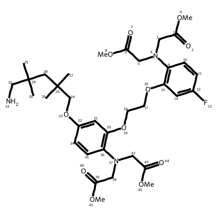 COC(=O)CN(CC(=O)OC)c1ccc(F)cc1OCCOc1cc(OCC(C)(C)CC(C)(C)CN)ccc1N(CC(=O)OC)CC(=O)OC